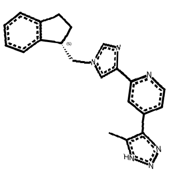 Cc1[nH]nnc1-c1ccnc(-c2cn(C[C@H]3CCc4ccccc43)cn2)c1